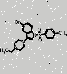 CCN1CCN(c2cn(S(=O)(=O)c3ccc(C)cc3)c3ccc(Br)cc23)CC1